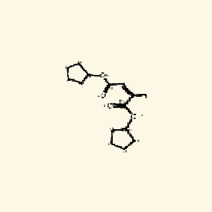 C/C(=C/C(=O)OC1CCCC1)C(=O)OC1CCCC1